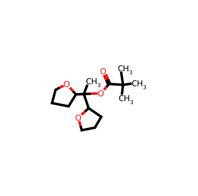 CC(C)(C)C(=O)OC(C)(C1CCCO1)C1CCCO1